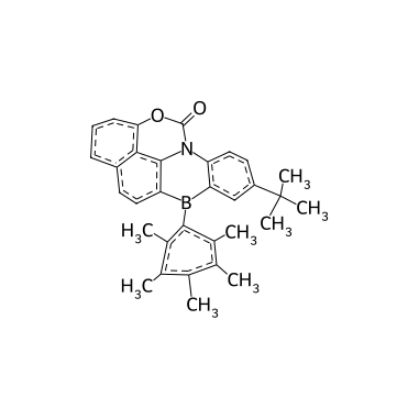 Cc1c(C)c(C)c(B2c3cc(C(C)(C)C)ccc3N3C(=O)Oc4cccc5ccc2c3c45)c(C)c1C